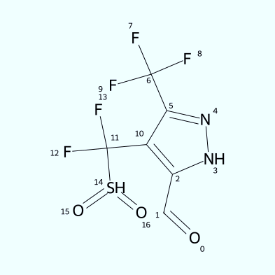 O=Cc1[nH]nc(C(F)(F)F)c1C(F)(F)[SH](=O)=O